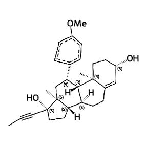 CC#C[C@]1(O)CC[C@H]2[C@@H]3CCC4=C[C@@H](O)CC[C@]4(C)[C@H]3[C@@H](c3ccc(OC)cc3)C[C@@]21C